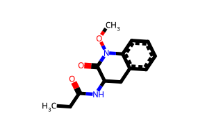 CCC(=O)NC1Cc2ccccc2N(OC)C1=O